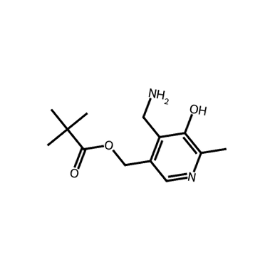 Cc1ncc(COC(=O)C(C)(C)C)c(CN)c1O